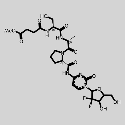 COC(=O)CCC(=O)N[C@@H](CO)C(=O)N[C@H](C)C(=O)N1CCC[C@H]1C(=O)Nc1ccn(C2OC(CO)C(O)C2(F)F)c(=O)n1